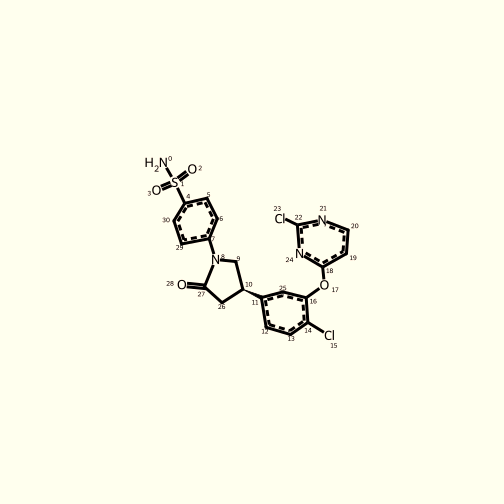 NS(=O)(=O)c1ccc(N2C[C@@H](c3ccc(Cl)c(Oc4ccnc(Cl)n4)c3)CC2=O)cc1